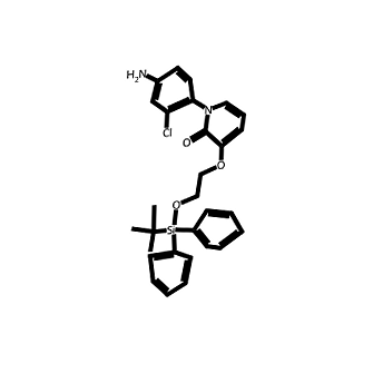 CC(C)(C)[Si](OCCOc1cccn(-c2ccc(N)cc2Cl)c1=O)(c1ccccc1)c1ccccc1